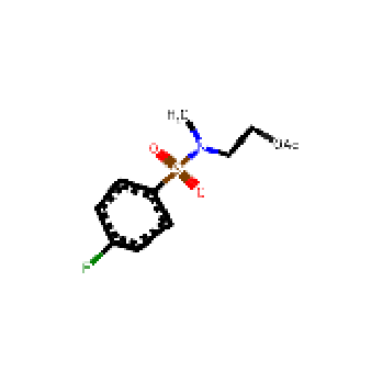 CC(=O)OCCN(C)S(=O)(=O)c1ccc(F)cc1